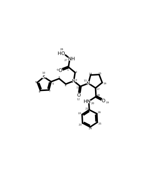 O=C(CN(CCc1cccs1)C(=O)N1CCCC1C(=O)Nc1ccccc1)NO